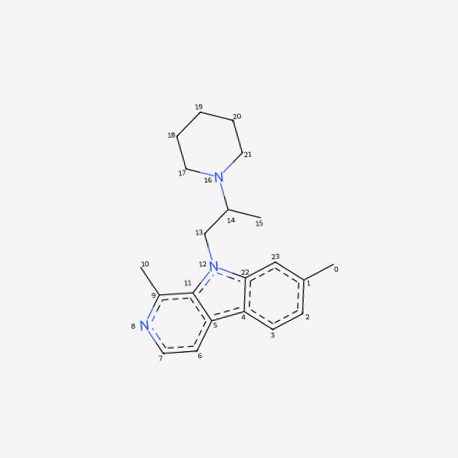 Cc1ccc2c3ccnc(C)c3n(CC(C)N3CCCCC3)c2c1